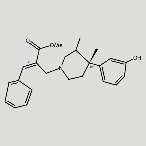 COC(=O)/C(=C/c1ccccc1)CN1CC[C@@](C)(c2cccc(O)c2)C(C)C1